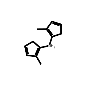 CC1=C([SiH2]C2=C(C)C=CC2)CC=C1